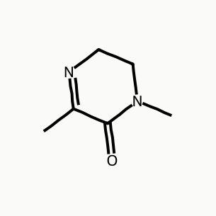 CC1=NCCN(C)C1=O